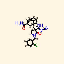 CC1(/C(=N/C#N)NC2C3CC4CC2CC(C(N)=O)(C4)C3)CCN(Cc2ccccc2Cl)C1=O